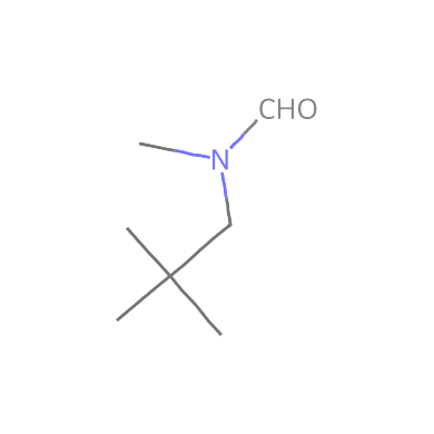 CN(C=O)CC(C)(C)C